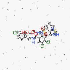 O=C(N[C@@H](Cc1ccc(Cl)cc1)C(=O)O)c1cc(Cl)c(Cl)cc1NS(=O)(=O)C1=CC=CN2SNC=C12